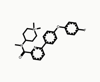 CN(C(=O)c1cccc(-c2ccc(Oc3ccc(F)cc3)cc2)n1)C1CC[N+](C)(C)CC1